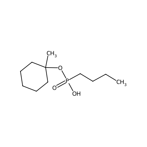 CCCCP(=O)(O)OC1(C)CCCCC1